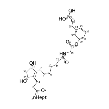 CCCCCCCC(=O)CC[C@@H]1[C@@H](C/C=C\CCCC(=O)NCC(=O)Oc2cccc(CON(O)O)c2)[C@@H](O)C[C@H]1O